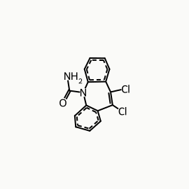 NC(=O)N1c2ccccc2C(Cl)=C(Cl)c2ccccc21